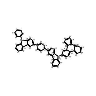 c1ccc(-n2c3ccccc3c3cc(-c4ccc(-c5ccc6c(c5)c5ccccc5n6-c5ccc6c7ccccc7c7ccccc7c6c5)nc4)ccc32)cc1